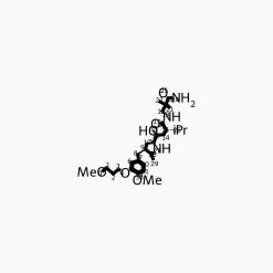 COCCCOc1cc(C[C@H]2C[C@@H]([C@@H](O)C[C@H](C(=O)NCC(C)(C)C(N)=O)C(C)C)NC2C)ccc1OC